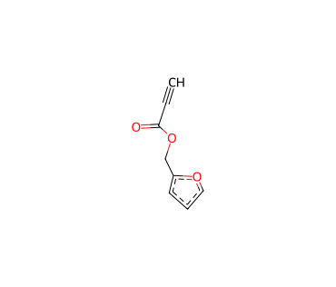 C#CC(=O)OCc1ccco1